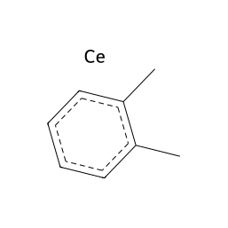 Cc1ccccc1C.[Ce]